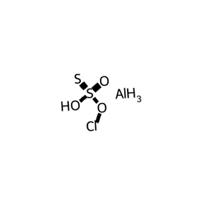 O=S(O)(=S)OCl.[AlH3]